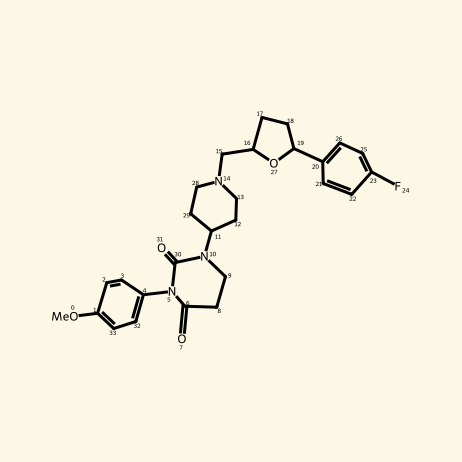 COc1ccc(N2C(=O)CCN(C3CCN(CC4CCC(c5ccc(F)cc5)O4)CC3)C2=O)cc1